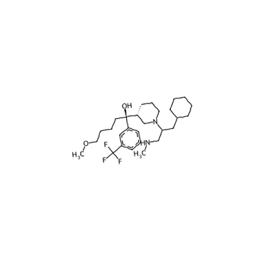 CNCC(CC1CCCCC1)N1CCC[C@@H]([C@@](O)(CCCCOC)c2cccc(C(F)(F)F)c2)C1